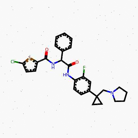 O=C(NC(C(=O)Nc1ccc(C2(CN3CCCC3)CC2)cc1F)c1ccccc1)c1ccc(Cl)s1